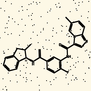 C=C(N[C@H]1c2ccccc2CC1C)c1ccc(F)c(NC(=O)c2cnc3ccc(C)cn23)c1